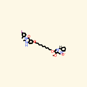 COc1c(OCCCCCCCCCCOc2ccc3c(c2)C(=O)N(c2ccc(I)cc2C)C(C)N3)cn2c1C=[N+]([O-])C1=CCCC[C@H]1C2